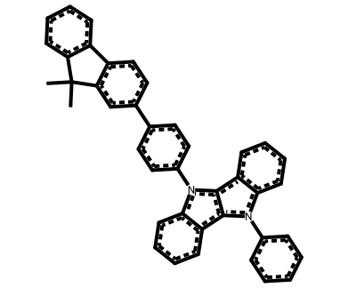 CC1(C)c2ccccc2-c2ccc(-c3ccc(-n4c5ccccc5c5c4c4ccccc4n5-c4ccccc4)cc3)cc21